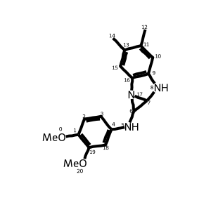 COc1ccc(NC2C3Nc4cc(C)c(C)cc4N23)cc1OC